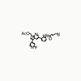 CC(=O)OCn1cc(-c2ccnc(F)c2)c2cc(-c3cccc(NC(=O)/C=C/CN(C)C)c3)cnc21